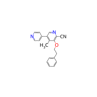 Cc1c(-c2ccncc2)cnc(C#N)c1OCCc1ccccc1